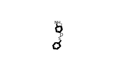 Nc1ccc(OSCc2ccccc2)cc1